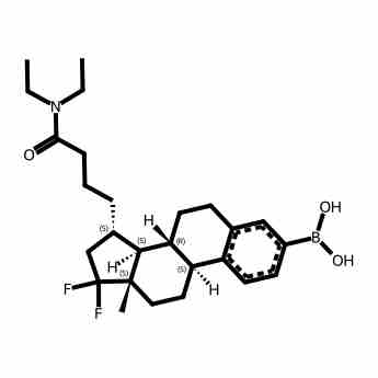 CCN(CC)C(=O)CCC[C@H]1CC(F)(F)[C@@]2(C)CC[C@@H]3c4ccc(B(O)O)cc4CC[C@H]3[C@H]12